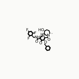 C[C@H]1CC[C@@H](O)[C@H]2CN1C(=O)c1c(OCc3ccccc3)c(=O)c(C(=O)NCc3c(F)cc(F)cc3F)cn12